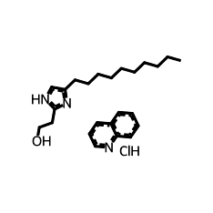 CCCCCCCCCCc1c[nH]c(CCO)n1.Cl.c1ccc2ncccc2c1